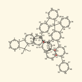 CC1(C)c2ccccc2-c2ccc(N(c3ccccc3)c3ccc4c(c3)C3(c5ccccc5-4)c4ccccc4-c4cc(-c5ccc(-c6ccccc6)cc5)c(N(c5ccccc5)c5ccccc5)cc43)cc21